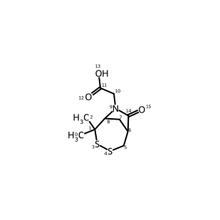 CC1(C)SSCC2CC1N(CC(=O)O)C2=O